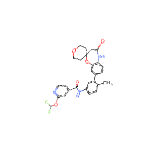 Cc1ccc(NC(=O)c2ccnc(OC(F)F)c2)cc1-c1ccc2c(c1)OC1(CCOCC1)CC(=O)N2